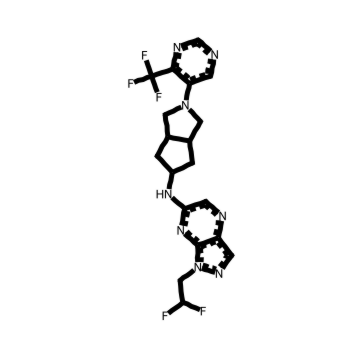 FC(F)Cn1ncc2ncc(NC3CC4CN(c5cncnc5C(F)(F)F)CC4C3)nc21